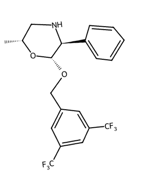 C[C@@H]1CN[C@@H](c2ccccc2)[C@H](OCc2cc(C(F)(F)F)cc(C(F)(F)F)c2)O1